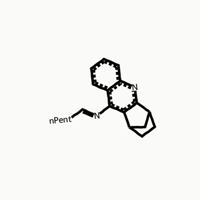 CCCCCC=Nc1c2c(nc3ccccc13)C1CCC2C1